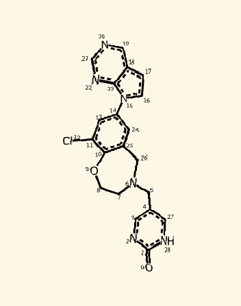 O=c1ncc(CN2CCOc3c(Cl)cc(-n4ccc5cncnc54)cc3C2)c[nH]1